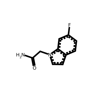 NC(=O)Cn1ccc2ccc(F)cc21